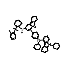 Cc1ccccc1C(C)(C)c1ccccc1Nc1cc(-c2ccc(N(C3=CC=CCC3)c3cccc4c3c3ccccc3n4-c3ccccc3)cc2)c2sc3ccccc3c2c1